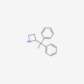 CC(c1ccccc1)(c1ccccc1)C1CCN1